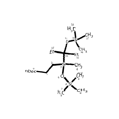 CCCCCCCCCCCC[Si](C)(O[Si](C)(C)C)C(CC)(CC)O[Si](C)(C)C